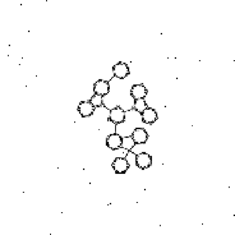 c1ccc(-c2ccc3c4ccccc4n(-c4nc(-c5cccc6c5-c5ccccc5C6(c5ccccc5)c5ccccc5)nc(-n5c6ccccc6c6ccccc65)n4)c3c2)cc1